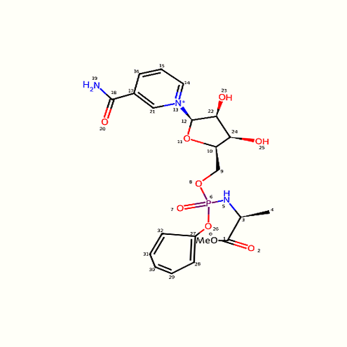 COC(=O)[C@H](C)NP(=O)(OC[C@H]1O[C@@H]([n+]2cccc(C(N)=O)c2)[C@@H](O)[C@H]1O)Oc1ccccc1